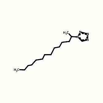 CCCCCCCCCCCCC(C)n1cnnn1